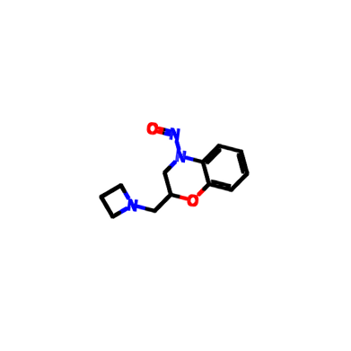 O=NN1CC(CN2CCC2)Oc2ccccc21